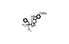 COc1ccc2c(c1)NC(=O)C2Cc1nnc([C@](C)(N)Cc2ccccc2)o1